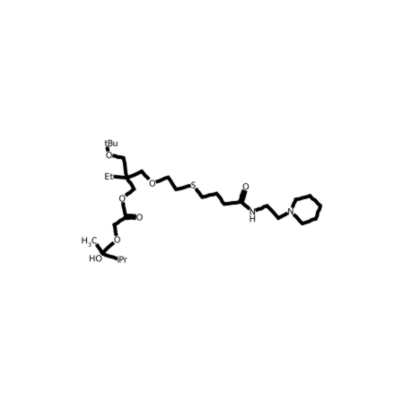 CCC(COCCSCCCC(=O)NCCN1CCCCC1)(COC(=O)COC(C)(O)C(C)C)COC(C)(C)C